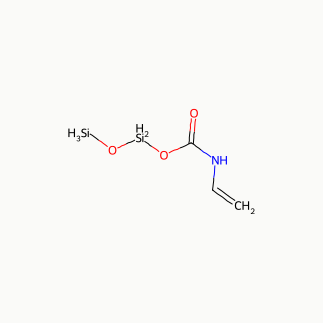 C=CNC(=O)O[SiH2]O[SiH3]